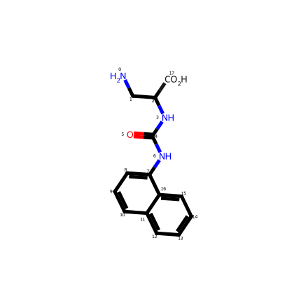 NCC(NC(=O)Nc1cccc2ccccc12)C(=O)O